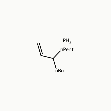 C=CC(CCCC)CCCCC.P